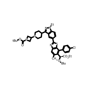 CCOC(=O)[C@@H](OC(C)(C)C)c1c(C)cc2nc(-c3ccc4c(c3)c(C3CCN(C5CN(C(=O)OC(C)(C)C)C5)CC3)nn4CC)sc2c1-c1ccc(Cl)cc1